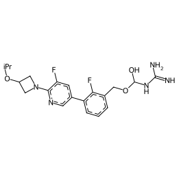 CC(C)OC1CN(c2ncc(-c3cccc(COC(O)NC(=N)N)c3F)cc2F)C1